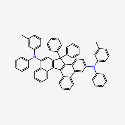 Cc1cccc(N(c2ccccc2)c2ccc3c4c(c5ccccc5c3c2)-c2c(cc(N(c3ccccc3)c3cccc(C)c3)c3ccccc23)C4(c2ccccc2)c2ccccc2)c1